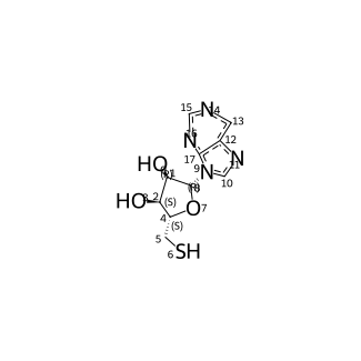 O[C@@H]1[C@H](O)[C@@H](CS)O[C@H]1n1cnc2cncnc21